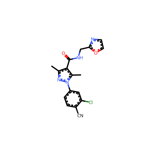 Cc1nn(-c2ccc(C#N)c(Cl)c2)c(C)c1C(=O)NCc1ncco1